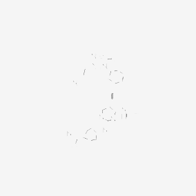 CCCNc1nc(Nc2ccc(C(N)=O)cc2)ncc1C#Cc1cccc(NC(=O)[C@H](C)N(C)C(=O)C=CCN(C)C)c1